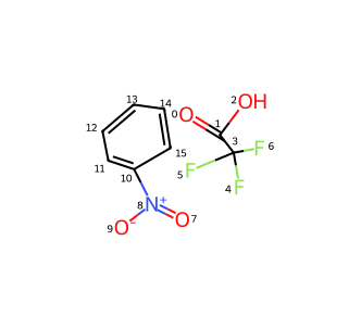 O=C(O)C(F)(F)F.O=[N+]([O-])c1ccccc1